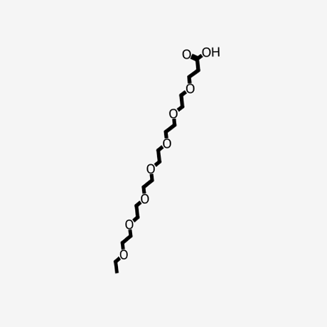 CCOCCOCCOCCOCCOCCOCCOCCC(=O)O